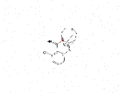 N=c1c2c(Cl)cccc2nc2n1C1CC3CC(CC2C3)C1